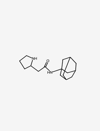 O=C(CC1CCCN1)NC12CC3CC(CC(C3)C1)C2